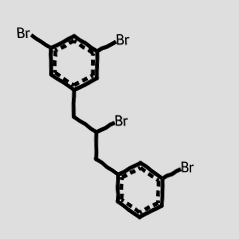 Brc1cccc(CC(Br)Cc2cc(Br)cc(Br)c2)c1